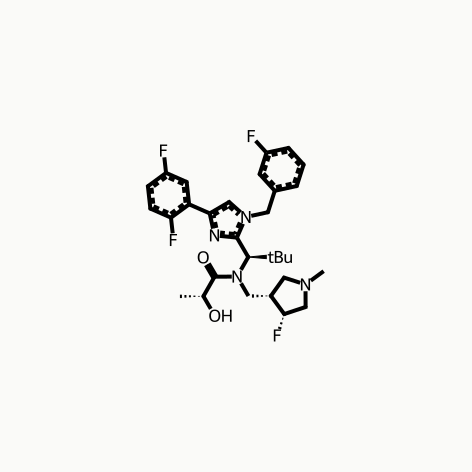 C[C@@H](O)C(=O)N(C[C@@H]1CN(C)C[C@@H]1F)[C@@H](c1nc(-c2cc(F)ccc2F)cn1Cc1cccc(F)c1)C(C)(C)C